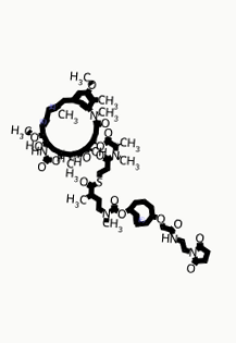 COc1cc2cc(c1C)N(C)C(=O)C[C@H](OC(=O)[C@H](C)N(C)C(=O)CCSC(=O)C(C)CCN(C)C(=O)OC1/C=C/CC(OCC(=O)NCCN3C(=O)CCC3=O)CCC1)[C@]1(C)O[C@H]1[C@H](C)[C@@H]1CC(O)(NC(=O)O1)C(OC)/C=C/C=C(\C)C2